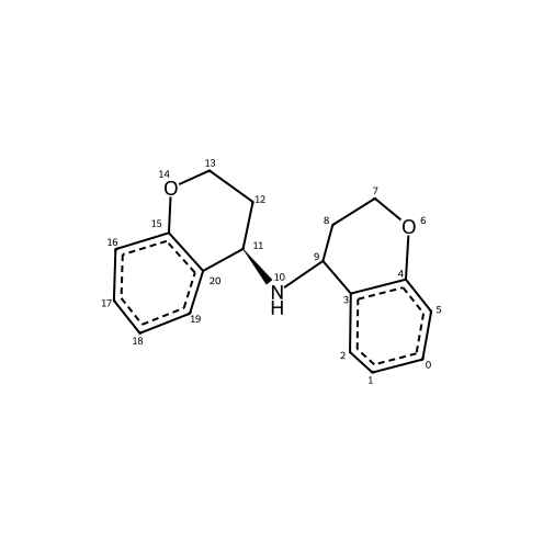 c1ccc2c(c1)OCCC2N[C@@H]1CCOc2ccccc21